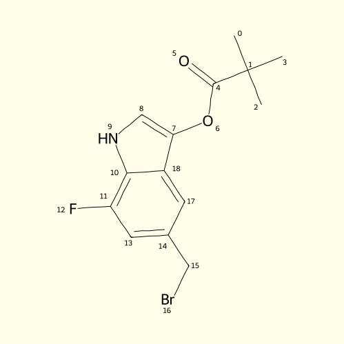 CC(C)(C)C(=O)Oc1c[nH]c2c(F)cc(CBr)cc12